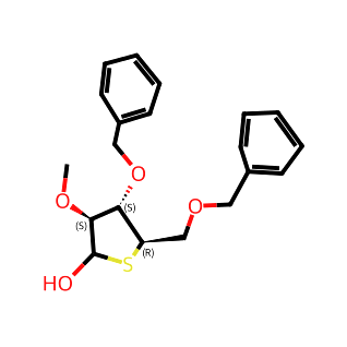 CO[C@@H]1C(O)S[C@H](COCc2ccccc2)[C@H]1OCc1ccccc1